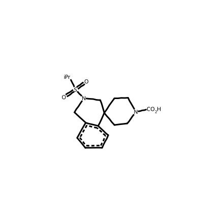 CC(C)S(=O)(=O)N1Cc2ccccc2C2(CCN(C(=O)O)CC2)C1